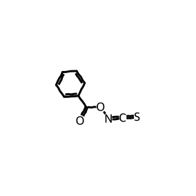 O=C(ON=C=S)c1ccccc1